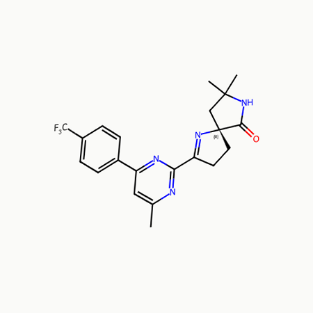 Cc1cc(-c2ccc(C(F)(F)F)cc2)nc(C2=N[C@]3(CC2)CC(C)(C)NC3=O)n1